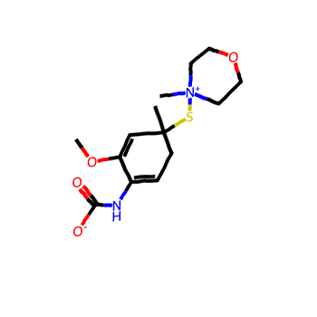 COC1=CC(C)(S[N+]2(C)CCOCC2)CC=C1NC(=O)[O-]